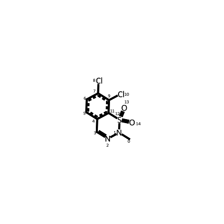 CN1N=Cc2ccc(Cl)c(Cl)c2S1(=O)=O